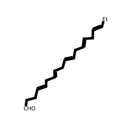 CCC=CCC=CCC=CCC=CCC=CCCC=O